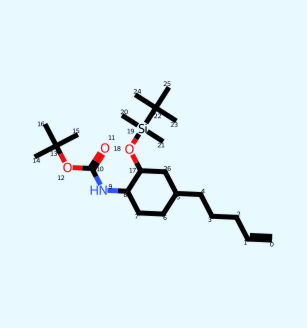 C=CCCCC1CCC(NC(=O)OC(C)(C)C)C(O[Si](C)(C)C(C)(C)C)C1